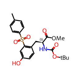 COC(=O)[C@H](Cc1ccc(O)cc1S(=O)(=O)c1ccc(C)cc1)NC(=O)OC(C)(C)C